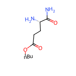 CCCCOC(=O)CC[C@H](N)C(N)=O